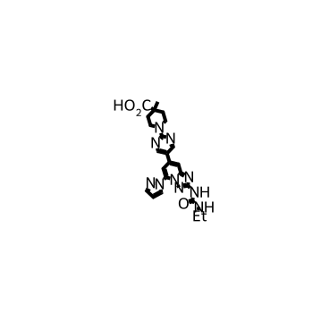 CCNC(=O)Nc1nc2cc(-c3cnc(N4CCC(C)(C(=O)O)CC4)nc3)cc(-n3cccn3)n2n1